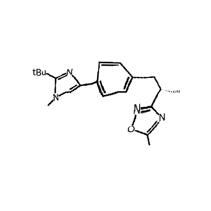 Cc1nc([C@@H](C)Cc2ccc(-c3cn(C)c(C(C)(C)C)n3)cc2)no1